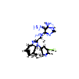 C[C@@H](Nc1ncnc(N)c1N)c1nc2cccc(C#N)c2n1-c1cncc(F)c1